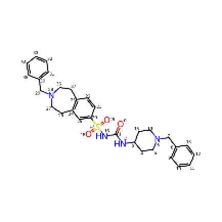 O=C(NC1CCN(Cc2ccccc2)CC1)NS(=O)(=O)c1ccc2c(c1)CCN(Cc1ccccc1)CC2